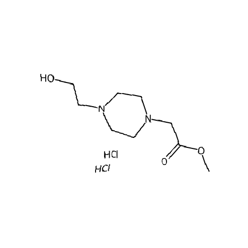 COC(=O)CN1CCN(CCO)CC1.Cl.Cl